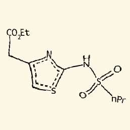 CCCS(=O)(=O)Nc1nc(CC(=O)OCC)cs1